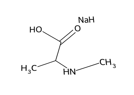 CNC(C)C(=O)O.[NaH]